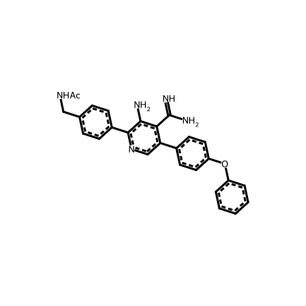 CC(=O)NCc1ccc(-c2ncc(-c3ccc(Oc4ccccc4)cc3)c(C(=N)N)c2N)cc1